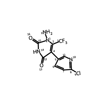 Nn1c(C(F)(F)F)c(-c2ccc(Cl)nc2)c(=O)[nH]c1=O